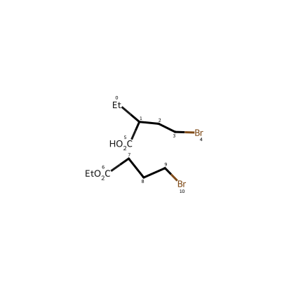 CCC(CCBr)C(=O)O.CCOC(=O)CCCBr